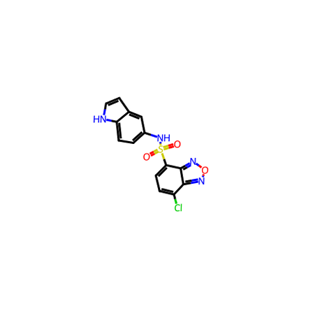 O=S(=O)(Nc1ccc2[nH]ccc2c1)c1ccc(Cl)c2nonc12